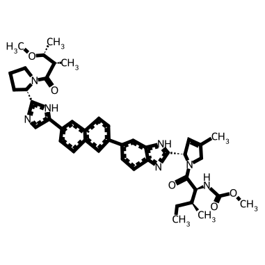 CC[C@H](C)[C@H](NC(=O)OC)C(=O)N1CC(C)=C[C@H]1c1nc2ccc(-c3ccc4cc(-c5cnc([C@@H]6CCCN6C(=O)[C@@H](C)[C@@H](C)OC)[nH]5)ccc4c3)cc2[nH]1